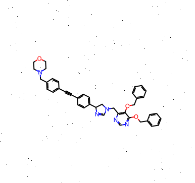 C(#Cc1ccc(C2CN(Cc3ncnc(OCc4ccccc4)c3OCc3ccccc3)C=N2)cc1)c1ccc(CN2CCOCC2)cc1